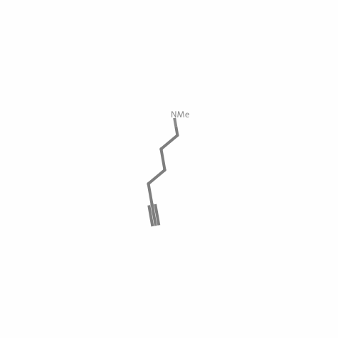 C#CCCCCNC